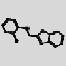 Brc1ccccc1NCc1nc2ccccc2o1